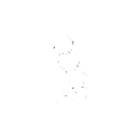 C[C@@]1(C(F)(F)F)Oc2cc(C(F)(F)F)c(C(=O)O)cc2NC1=O